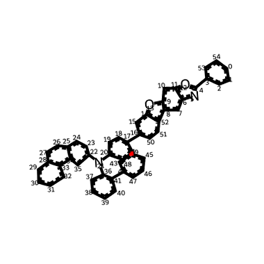 c1ccc(-c2nc3cc4c(cc3o2)oc2cc(-c3ccc(N(c5ccc6ccc7ccccc7c6c5)c5ccccc5-c5ccccc5)cc3)ccc24)cc1